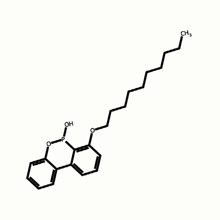 CCCCCCCCCCOc1cccc2c1P(O)Oc1ccccc1-2